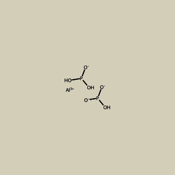 [Al+3].[O-]P(O)O.[O-]P([O-])O